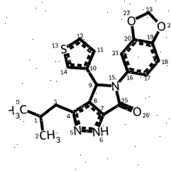 CC(C)Cc1n[nH]c2c1C(c1ccsc1)N(c1ccc3c(c1)OCO3)C2=O